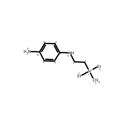 CC[N+](C)(CC)CCNc1ccc(N)cc1